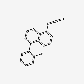 O=C=Nc1ccnc2c(-c3ccccc3F)cccc12